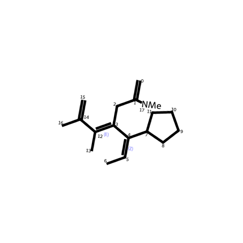 C=C(CC(/C(=C\C)C1CCCC1)=C(/C)C(=C)C)NC